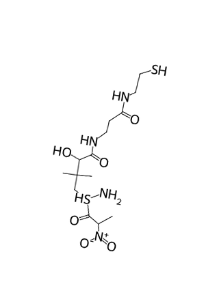 CC(C(=O)[SH](N)CC(C)(C)C(O)C(=O)NCCC(=O)NCCS)[N+](=O)[O-]